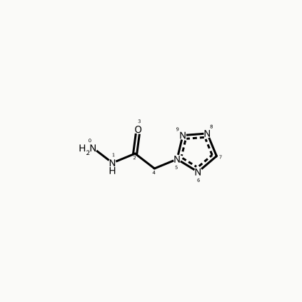 NNC(=O)Cn1ncnn1